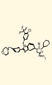 NC(=O)CC(NCC1CCCCC1)c1ccc2c(c1)nc(-c1ccc(N3CCOCC3)cc1)n2Cc1ccc(Cl)c(C(F)(F)F)c1